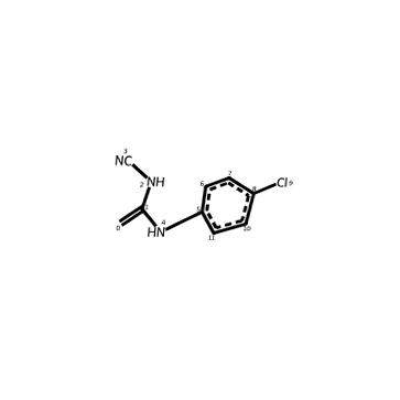 C=C(NC#N)Nc1ccc(Cl)cc1